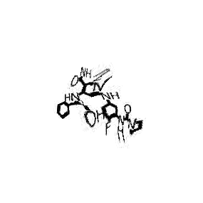 NC(=O)c1cnc(Nc2ccc(F)c(NC(=O)N3CCC3)c2)cc1N[C@H](CO)c1ccccc1